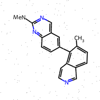 CNc1ncc2cc(-c3c(C)ccc4cnccc34)ccc2n1